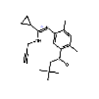 C#CCN/C(=N\c1cc([S+]([O-])CC(C)(C)F)c(C)cc1C)C1CC1